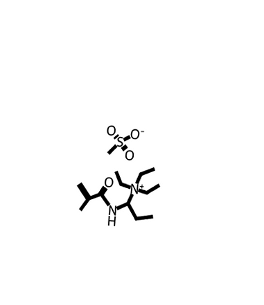 C=C(C)C(=O)NC(CC)[N+](CC)(CC)CC.CS(=O)(=O)[O-]